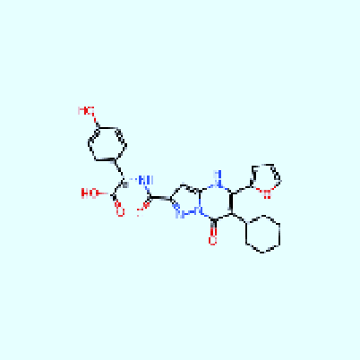 O=C(N[C@H](C(=O)O)c1ccc(O)cc1)c1cc2[nH]c(-c3ccco3)c(C3CCCCC3)c(=O)n2n1